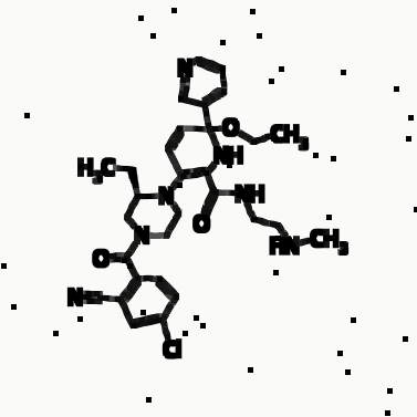 CCOC1(c2cccnc2)C=CC(N2CCN(C(=O)c3ccc(Cl)cc3C#N)C[C@H]2CC)=C(C(=O)NCCNC)N1